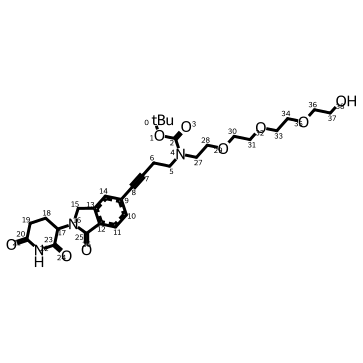 CC(C)(C)OC(=O)N(CCC#Cc1ccc2c(c1)CN(C1CCC(=O)NC1=O)C2=O)CCOCCOCCOCCO